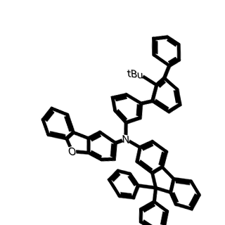 CC(C)(C)c1c(-c2ccccc2)cccc1-c1cccc(N(c2ccc3c(c2)C(c2ccccc2)(c2ccccc2)c2ccccc2-3)c2ccc3oc4ccccc4c3c2)c1